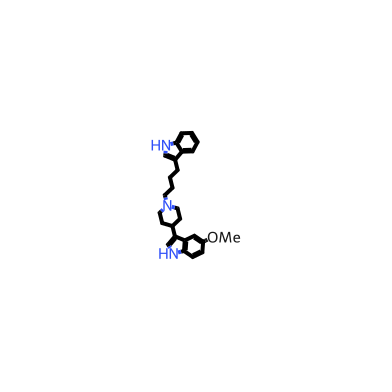 COc1ccc2[nH]cc(C3CCN(CCCCc4c[nH]c5ccccc45)CC3)c2c1